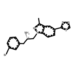 Cc1nn(C[C@@H](N)Cc2cccc(Br)c2)c2ccc(-c3nncs3)cc12